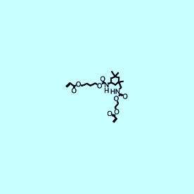 C=CC(=O)OCCCCOC(=O)NC1CC(C)(C)CC(C)(CNC(=O)OCCOC(=O)C=C)C1